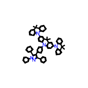 CC1(C)c2ccccc2N(c2ccc3c(c2)C(C)(C)c2cc(N4c5ccccc5C(C)(C)c5ccccc54)ccc2N3c2ccc(-c3c(-c4ccccc4)nn(-c4ccccc4)c3-c3ccccc3)cc2)c2ccccc21